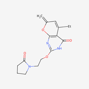 C=C1C=C(CC)c2c(nc(OCCN3CCCC3=O)[nH]c2=O)O1